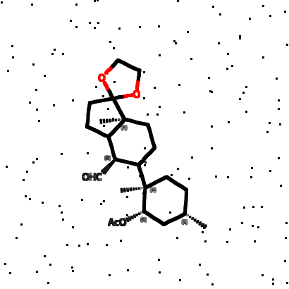 CC(=O)O[C@H]1C[C@@H](C)CC[C@]1(C)C1CC[C@@]2(C)C(CCC23OCCO3)[C@@H]1C=O